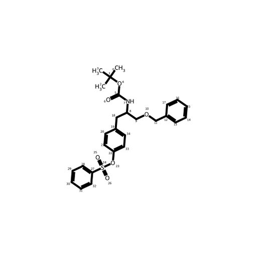 CC(C)(C)OC(=O)NC(COCc1ccccc1)Cc1ccc(OS(=O)(=O)c2ccccc2)cc1